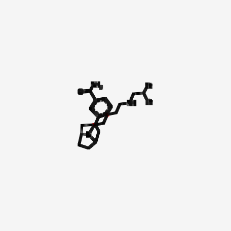 CCC(CC)CNCCCCCN1C2CCC1CC(c1cccc(C(N)=O)c1)C2